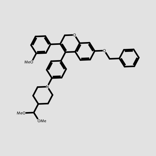 COc1cccc(C2=C(c3ccc(N4CCC(C(OC)OC)CC4)cc3)c3ccc(OCc4ccccc4)cc3OC2)c1